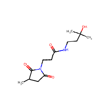 CC1CC(=O)N(CCC(=O)NCCC(C)(C)O)C1=O